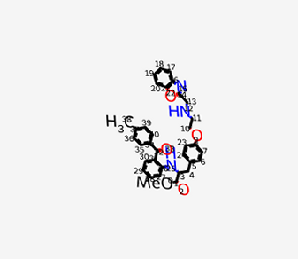 COC(=O)C(Cc1ccc(OCCNCc2nc3ccccc3o2)cc1)Nc1ccccc1C(=O)c1ccc(C)cc1